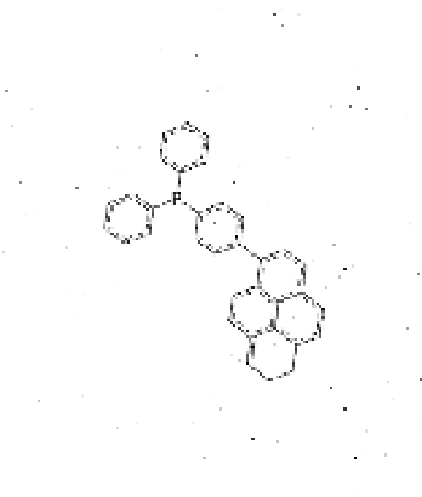 C1=c2ccc3c(-c4ccc(P(c5ccccc5)c5ccccc5)cc4)ccc4ccc(c2c43)CC1